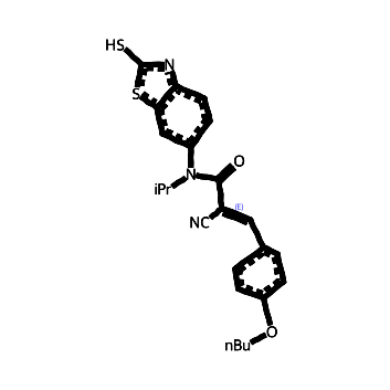 CCCCOc1ccc(/C=C(\C#N)C(=O)N(c2ccc3nc(S)sc3c2)C(C)C)cc1